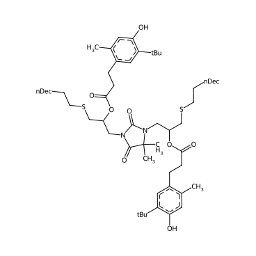 CCCCCCCCCCCCSCC(CN1C(=O)N(CC(CSCCCCCCCCCCCC)OC(=O)CCc2cc(C(C)(C)C)c(O)cc2C)C(C)(C)C1=O)OC(=O)CCc1cc(C(C)(C)C)c(O)cc1C